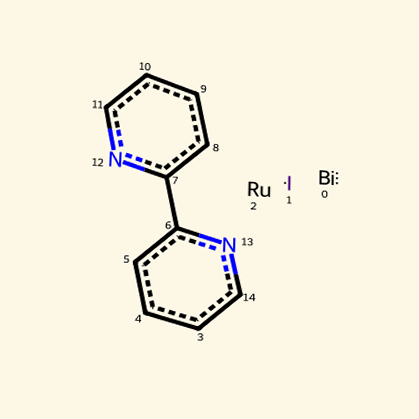 [Bi].[I].[Ru].c1ccc(-c2ccccn2)nc1